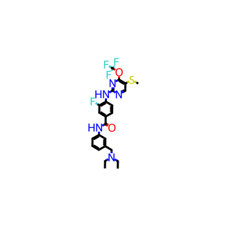 CCN(CC)Cc1cccc(NC(=O)c2ccc(Nc3ncc(SC)c(OC(F)(F)F)n3)c(F)c2)c1